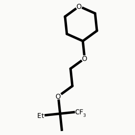 CCC(C)(OCCOC1CCOCC1)C(F)(F)F